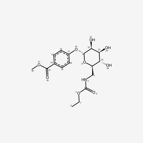 CCOC(=O)NC[C@H]1O[C@H](Oc2ccc(C(=O)OC)cc2)[C@@H](O)[C@@H](O)[C@@H]1O